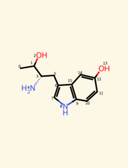 CC(O)[C@@H](N)Cc1c[nH]c2ccc(O)cc12